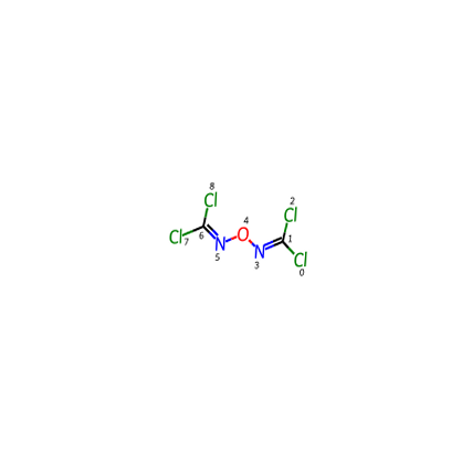 ClC(Cl)=NON=C(Cl)Cl